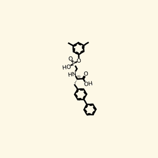 Cc1cc(C)cc(OP(=O)(O)CN[C@@H](Cc2ccc(-c3ccccc3)cc2)C(=O)O)c1